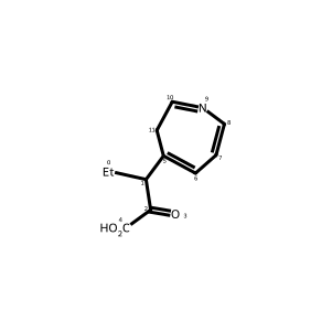 CCC(C(=O)C(=O)O)C1=CC=CN=CC1